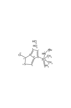 CC(C)(C)[NH][Zr]([CH3])([CH3])(=[SiH2])[C]1=CC=C2C1=CSC2Cl.Cl.Cl